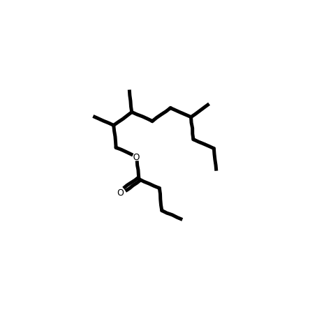 CCCC(=O)OCC(C)C(C)CCC(C)CCC